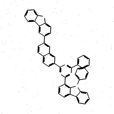 c1ccc(-c2nc(-c3ccc4ccc(-c5ccc6oc7ccccc7c6c5)cc4c3)nc(-c3cccc4c5ccccc5n(-c5ccccc5)c34)n2)cc1